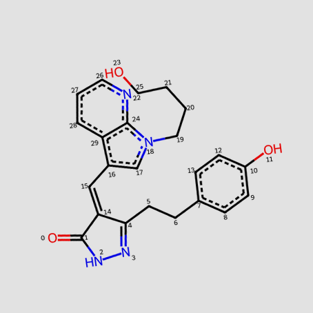 O=C1NN=C(CCc2ccc(O)cc2)C1=Cc1cn(CCCCO)c2ncccc12